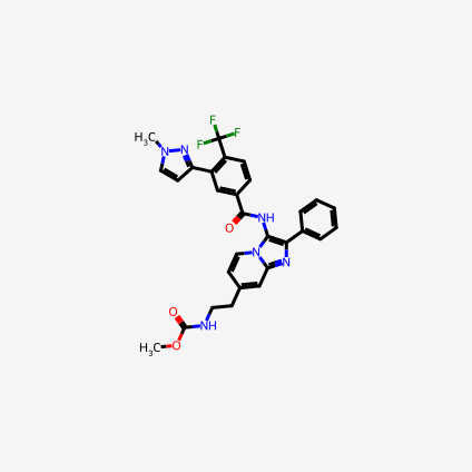 COC(=O)NCCc1ccn2c(NC(=O)c3ccc(C(F)(F)F)c(-c4ccn(C)n4)c3)c(-c3ccccc3)nc2c1